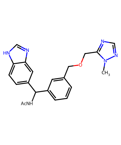 CC(=O)NC(c1cccc(COCc2ncnn2C)c1)c1ccc2[nH]cnc2c1